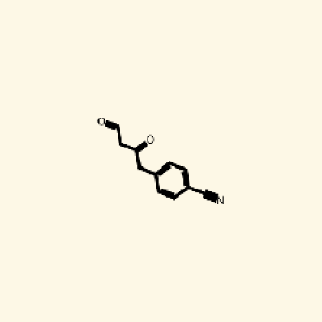 N#Cc1ccc(CC(=O)CC=O)cc1